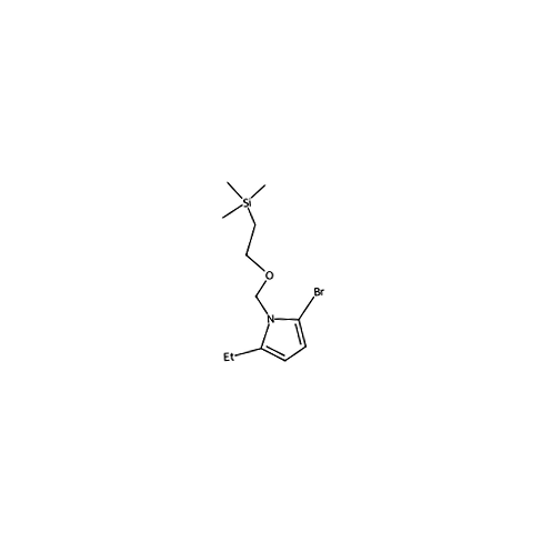 CCc1ccc(Br)n1COCC[Si](C)(C)C